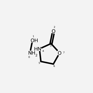 NO.O=C1NCCO1